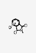 CN1C(=O)c2ccc[n+]([O-])c2C1=O